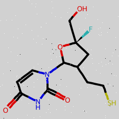 O=c1ccn(C2O[C@](F)(CO)CC2CCS)c(=O)[nH]1